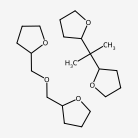 C1COC(COCC2CCCO2)C1.CC(C)(C1CCCO1)C1CCCO1